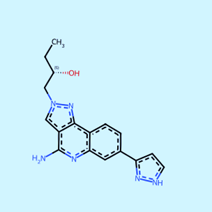 CC[C@H](O)Cn1cc2c(N)nc3cc(-c4cc[nH]n4)ccc3c2n1